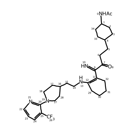 CC(=O)NC1CCC(CCC(=O)C(=N)C2=C(NCCC3CCN(c4ncccc4C(F)(F)F)CC3)CCCC2)CC1